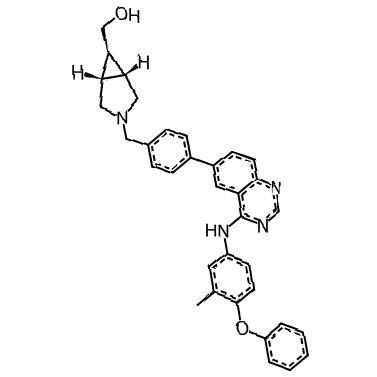 Cc1cc(Nc2ncnc3ccc(-c4ccc(CN5C[C@@H]6[C@@H](CO)[C@@H]6C5)cc4)cc23)ccc1Oc1ccccc1